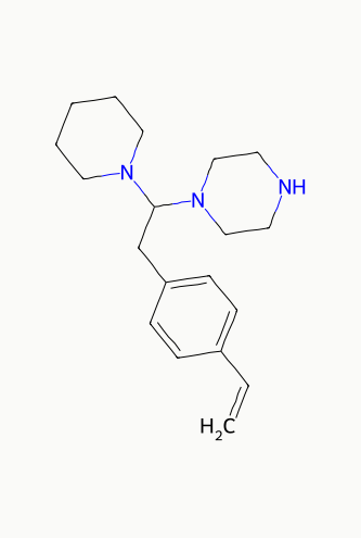 C=Cc1ccc(CC(N2CCCCC2)N2CCNCC2)cc1